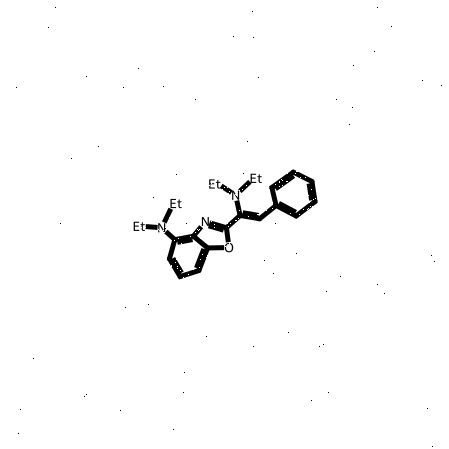 CCN(CC)C(=Cc1ccccc1)c1nc2c(N(CC)CC)cccc2o1